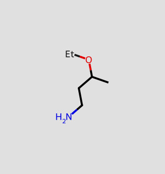 CCOC(C)CCN